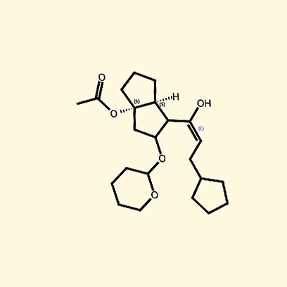 CC(=O)O[C@]12CCC[C@H]1C(/C(O)=C\CC1CCCC1)C(OC1CCCCO1)C2